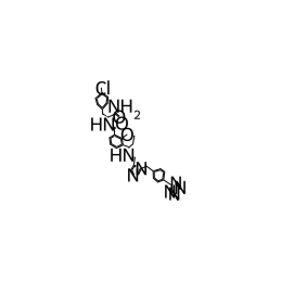 Cn1nnc(-c2ccc(Cn3cncc3CNC3CCOc4c(C(=O)N[C@@H](Cc5ccc(Cl)cc5)C(N)=O)cccc43)cc2)n1